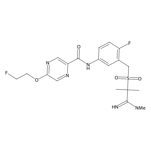 CNC(=N)C(C)(C)S(=O)(=O)Cc1cc(NC(=O)c2cnc(OCCF)cn2)ccc1F